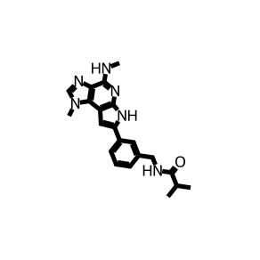 CNc1nc2[nH]c(-c3cccc(CNC(=O)C(C)C)c3)cc2c2c1ncn2C